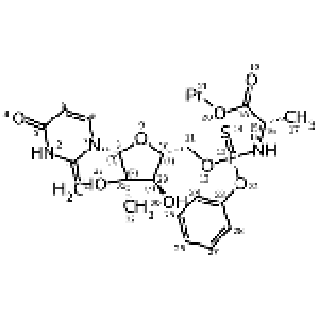 C=C1NC(=O)C=CN1[C@@H]1O[C@H](COP(=S)(N[C@@H](C)C(=O)OC(C)C)Oc2ccccc2)[C@@H](O)[C@@]1(C)O